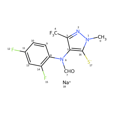 Cn1nc(C(F)(F)F)c(N(C=O)c2ccc(F)cc2F)c1[S-].[Na+]